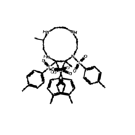 Cc1ccc(S(=O)(=O)N2CCNCCNC(C)CNC(S(=O)(=O)c3ccc(C)cc3)(S(=O)(=O)c3ccc(C)cc3)C2(C)S(=O)(=O)c2ccc(C)cc2)cc1